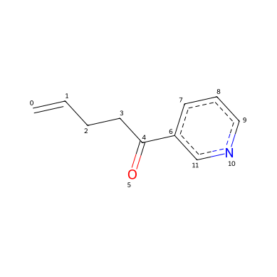 C=CCCC(=O)c1cccnc1